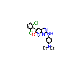 CCN(CC)c1ccc(Nc2ncc3cc(-c4c(Cl)cccc4Cl)c(=O)n(C)c3n2)cc1